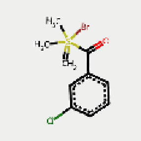 C=S(C)(C)(Br)C(=O)c1cccc(Cl)c1